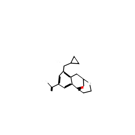 C[C@@H](c1cc(C(N)=O)cc2c1CC1NCCC23CCCCC13)C1CC1